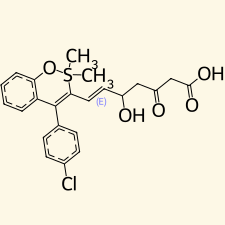 CS1(C)Oc2ccccc2C(c2ccc(Cl)cc2)=C1/C=C/C(O)CC(=O)CC(=O)O